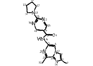 Cc1cn2cc(NC(=O)c3cnc(N4CCCC4)nc3)nc(C)c2n1